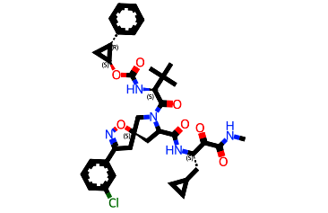 CNC(=O)C(=O)[C@H](CC1CC1)NC(=O)C1C[C@]2(CC(c3cccc(Cl)c3)=NO2)CN1C(=O)[C@@H](NC(=O)O[C@H]1C[C@@H]1c1ccccc1)C(C)(C)C